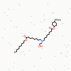 CCCCCCC1CCC(OC(=O)CCCCCCCN(CCO)CCCCCCCC(=O)OCCCCCCCCI)CC1